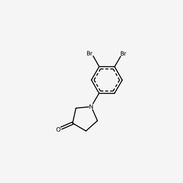 O=C1CCN(c2ccc(Br)c(Br)c2)C1